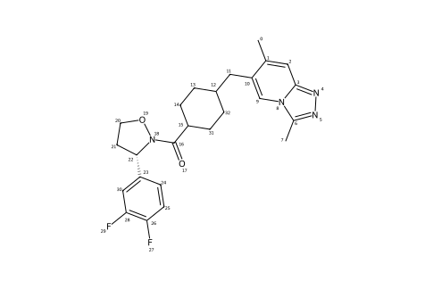 Cc1cc2nnc(C)n2cc1CC1CCC(C(=O)N2OCC[C@H]2c2ccc(F)c(F)c2)CC1